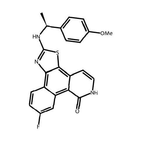 COc1ccc([C@H](C)Nc2nc3c4ccc(F)cc4c4c(=O)[nH]ccc4c3s2)cc1